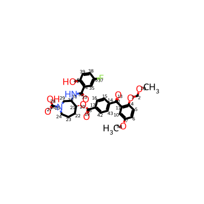 COCOc1ccc(OC)cc1C(=O)c1ccc(C(=O)O[C@@H]2CCCN(C(=O)O)C[C@H]2NC(=O)c2cc(F)ccc2O)cc1